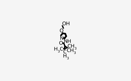 CC1(C)C(C(=O)Nc2ccc(OCCO)cn2)C1(C)C